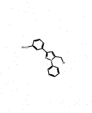 COc1cccc(-c2cc(CBr)n(-c3ccccc3)n2)c1